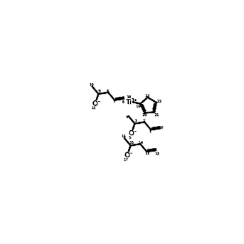 C=CCC(C)[O-].C=CCC(C)[O-].C=CCC(C)[O-].[Ti+3][C]1=CC=CC1